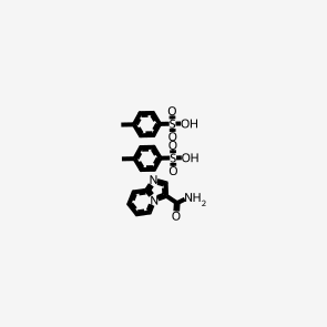 Cc1ccc(S(=O)(=O)O)cc1.Cc1ccc(S(=O)(=O)O)cc1.NC(=O)c1cnc2ccccn12